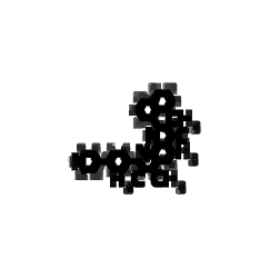 Cc1c(-c2ccc(-c3ccncc3)cc2)nc2c(ccc3c(C)c(C)c(-c4cccc5ccccc45)nc32)c1C